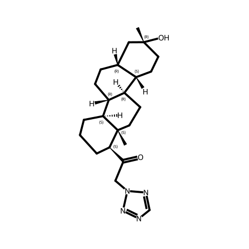 C[C@@]1(O)CC[C@H]2[C@H](CC[C@@H]3[C@@H]2CC[C@]2(C)[C@@H](C(=O)Cn4ncnn4)CCC[C@@H]32)C1